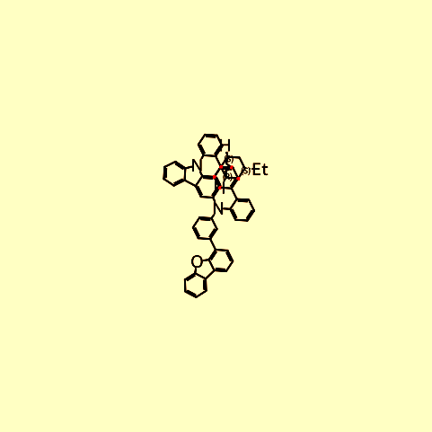 CC[C@@H]1C[C@H]2CCC[C@@H](C1)C21c2ccccc2-n2c3ccccc3c3cc(N(c4cccc(-c5cccc6c5oc5ccccc56)c4)c4ccccc4-c4ccccc4)cc1c32